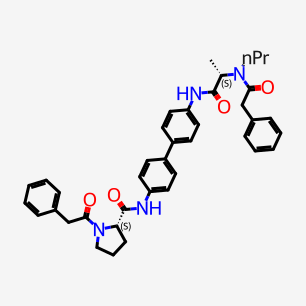 CCCN(C(=O)Cc1ccccc1)[C@@H](C)C(=O)Nc1ccc(-c2ccc(NC(=O)[C@@H]3CCCN3C(=O)Cc3ccccc3)cc2)cc1